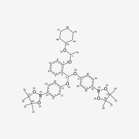 CC(Oc1ccccc1C(Oc1ccc(B2OC(C)(C)C(C)(C)O2)cc1)Oc1ccc(B2OC(C)(C)C(C)(C)O2)cc1)OC1CCCCC1